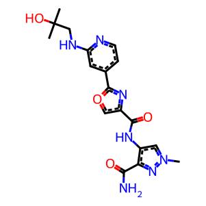 Cn1cc(NC(=O)c2coc(-c3ccnc(NCC(C)(C)O)c3)n2)c(C(N)=O)n1